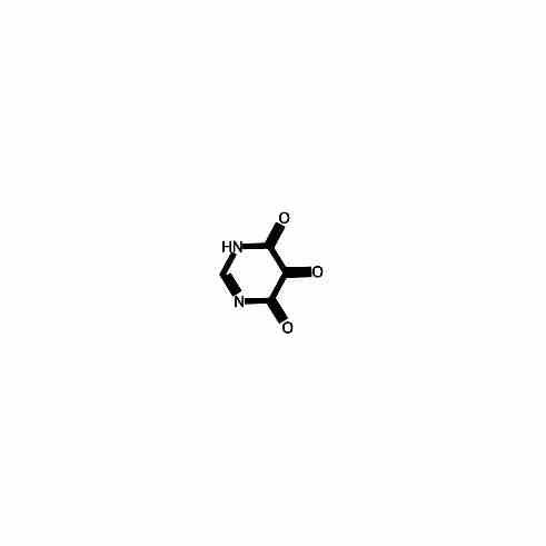 O=C1N=CNC(=O)C1=O